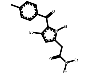 CCc1cc(CC(=O)N(CC)CC)n(CC)c1C(=O)c1ccc(C)cc1